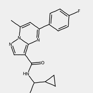 Cc1cc(-c2ccc(F)cc2)nc2c(C(=O)NC(C)C3CC3)cnn12